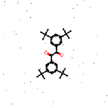 CC(C)(C)c1cc(C(=O)C(=O)c2cc(C(C)(C)C)cc(C(C)(C)C)c2)cc(C(C)(C)C)c1